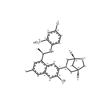 Cc1cc([C@@H](C)Nc2ccc(Cl)nc2C(=O)O)c2nc(N3C[C@H]4CO[C@H](C4)C3)c(C#N)nc2c1